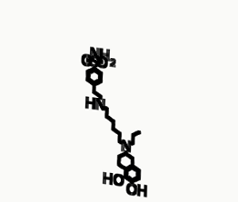 CCCN(CCCCCCNCCc1ccc(S(N)(=O)=O)cc1)C1CCc2c(ccc(O)c2O)C1